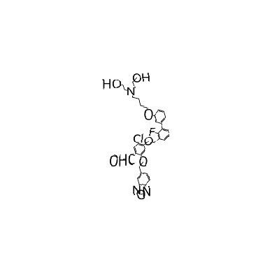 O=Cc1cc(Cl)c(OCc2cccc(-c3cccc(OCCCCN(CCO)CCO)c3)c2F)cc1OCc1ccc2nonc2c1